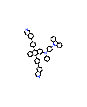 c1ccc(N(c2ccc(-n3c4ccccc4c4ccccc43)cc2)c2ccc3c(-c4ccc(-c5ccc6cnccc6c5)cc4)c4ccccc4c(-c4ccc(-c5ccc6cnccc6c5)cc4)c3c2)cc1